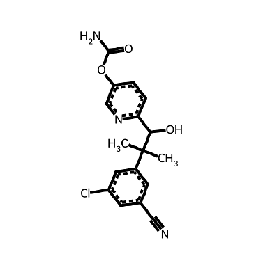 CC(C)(c1cc(Cl)cc(C#N)c1)C(O)c1ccc(OC(N)=O)cn1